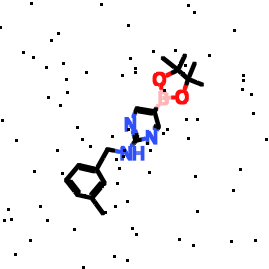 Cc1cccc(CNc2ncc(B3OC(C)(C)C(C)(C)O3)cn2)c1